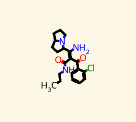 CCCNC(=O)C(C(=O)c1ccccc1Cl)=C(N)C1CCC2CCCN21